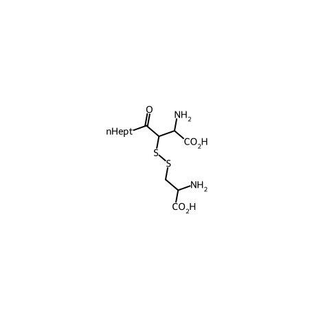 CCCCCCCC(=O)C(SSCC(N)C(=O)O)C(N)C(=O)O